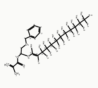 C=C(C)C(=O)OC(COCc1ccccc1)OC(F)=C(F)C(F)(F)C(F)(F)C(F)(F)C(F)(F)C(F)(F)C(F)(F)C(F)(F)C(F)(F)C(F)(F)C(F)(F)F